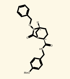 COc1ccc(CNC(=O)[C@@H]2CC[C@@H]3CN2C(=O)N3OCc2ccccc2)cc1